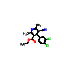 CCOC(=O)c1c(C)nc(C)c(C#N)c1-c1ccc(Cl)c(Cl)c1